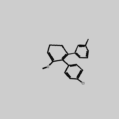 COC1=CC[CH]C(c2cccc(C)c2)=C1c1ccc(Cl)cc1